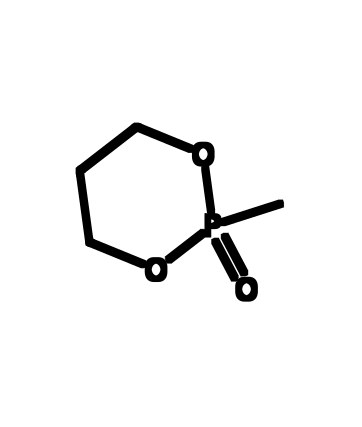 CP1(=O)OCCCO1